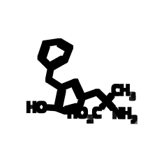 C[C@](N)(Cc1ccc(O)c(Cc2ccccc2)c1)C(=O)O